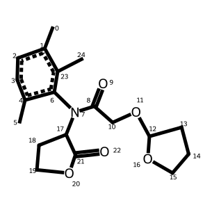 Cc1ccc(C)c(N(C(=O)COC2CCCO2)C2CCOC2=O)c1C